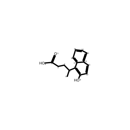 CC(CCC(=O)O)c1c(O)ccc2ccccc12